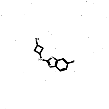 NC1CC(Nc2nc3ccc(F)cc3s2)C1